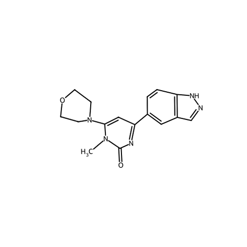 Cn1c(N2CCOCC2)cc(-c2ccc3[nH]ncc3c2)nc1=O